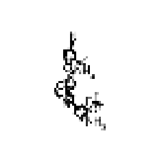 CC(NC(=O)N1CCC2(C1)OCCn1nc(-c3cnc(N)c(OC(F)(F)F)c3)cc12)c1cc(C#N)ccn1